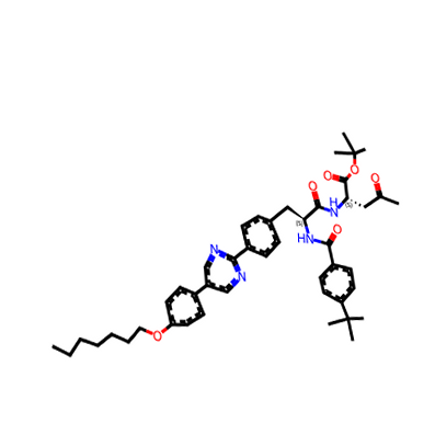 CCCCCCCOc1ccc(-c2cnc(-c3ccc(C[C@H](NC(=O)c4ccc(C(C)(C)C)cc4)C(=O)N[C@@H](CC(C)=O)C(=O)OC(C)(C)C)cc3)nc2)cc1